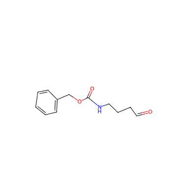 O=CCCCNC(=O)OCc1ccccc1